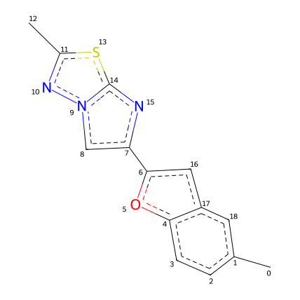 Cc1ccc2oc(-c3cn4nc(C)sc4n3)cc2c1